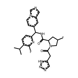 CC(C)c1ccc(C(NC(=O)C2CC(F)CN2C(=O)Cc2cnn[nH]2)c2ccn3cncc3c2)nc1F